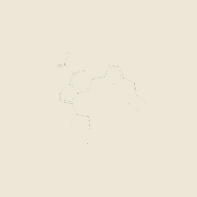 NC(=O)c1cc(-c2csc(CN3CCC3)c2)cc2c(C3CCS(O)(O)C3)c[nH]c12